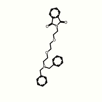 O=C1c2ccccc2C(=O)N1CCOCCOCCN(Cc1ccccc1)Cc1ccccc1